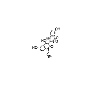 CC(C)CCn1c(=O)c(C2=NS(=O)(=O)c3cc(O)ccc3N2)c(O)c2cc(O)ccc21